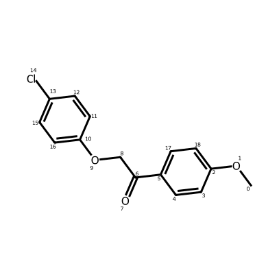 COc1ccc(C(=O)COc2ccc(Cl)cc2)cc1